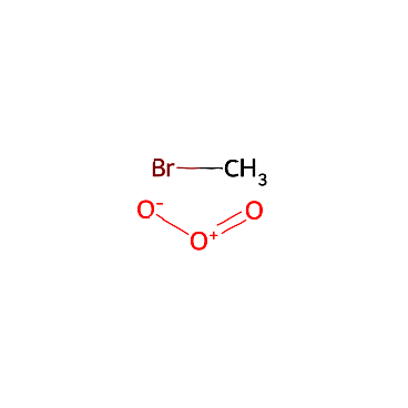 CBr.O=[O+][O-]